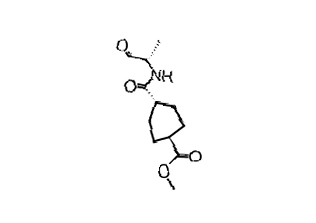 COC(=O)[C@H]1CC[C@H](C(=O)N[C@@H](C)C=O)CC1